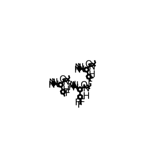 CCC(C)(C)NC(=O)c1cc(-c2ccc(C(F)(F)F)cc2)cc(-n2cnnn2)c1.CCC(C)(C)NC(=O)c1cc(-c2ccc(C)c(F)c2)cc(-n2cnnn2)c1.CCC(C)(C)NC(=O)c1cc(-c2ccc(F)c(C)c2)cc(-n2cnnn2)c1